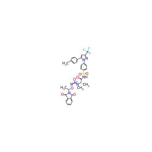 Cc1ccc(-c2cc(C(F)(F)F)nn2-c2ccc(S(=O)(=O)NC(=O)[C@H](C)N(C)/[N+]([O-])=N\OC(C)N3C(=O)c4ccccc4C3=O)cc2)cc1